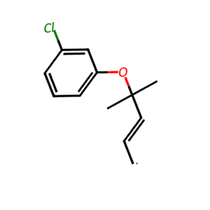 [CH2]C=CC(C)(C)Oc1cccc(Cl)c1